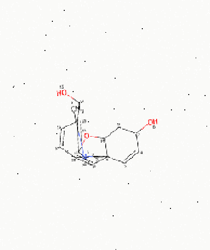 CN1CCC23C=CC(O)CC2Oc2c(CO)ccc(c23)C1